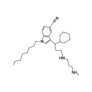 CCCCCCCCn1cc(C(CCNCCCN)C2CCCCC2)c2cc(C#N)ccc21